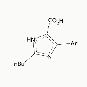 CCCCc1nc(C(C)=O)c(C(=O)O)[nH]1